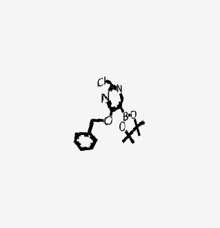 CC1(C)OB(c2cnc(Cl)nc2OCc2ccccc2)OC1(C)C